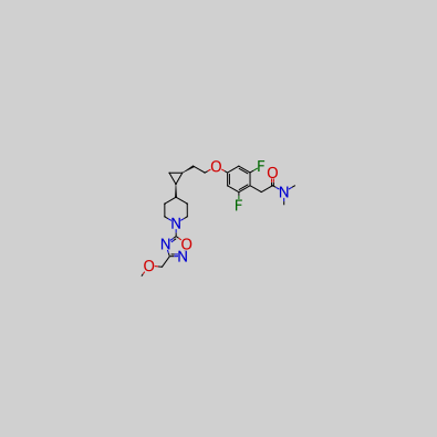 COCc1noc(N2CCC([C@H]3C[C@H]3CCOc3cc(F)c(CC(=O)N(C)C)c(F)c3)CC2)n1